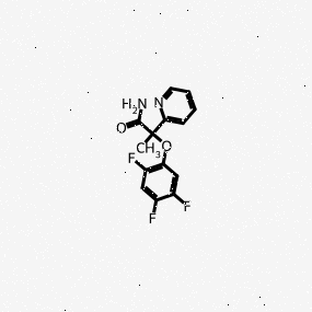 CC(Oc1cc(F)c(F)cc1F)(C(N)=O)c1ccccn1